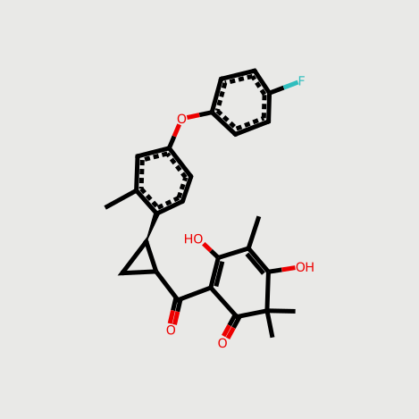 CC1=C(O)C(C)(C)C(=O)C(C(=O)C2C[C@H]2c2ccc(Oc3ccc(F)cc3)cc2C)=C1O